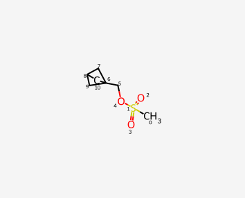 CS(=O)(=O)OCC12CC(C1)C2